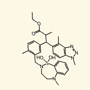 CCOC(=O)C(C)C(c1ccc(C)c(CN2CCN(C)c3ccccc3S2(O)O)c1)c1ccc2c(nnn2C)c1C